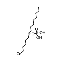 CCCCCCCCCCCCC[CH2][Ce].O=P(O)(O)O